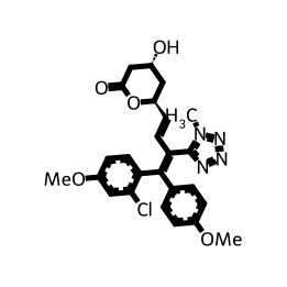 COc1ccc(C(=C(/C=C/[C@@H]2C[C@@H](O)CC(=O)O2)c2nnnn2C)c2ccc(OC)cc2Cl)cc1